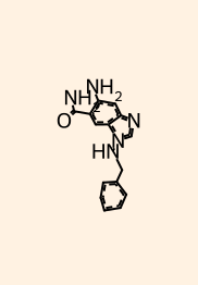 NC(=O)c1cc2c(cc1N)ncn2NCc1ccccc1